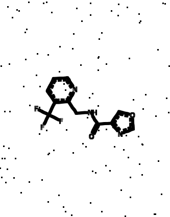 O=C(NCc1ncccc1C(F)(F)F)c1cocn1